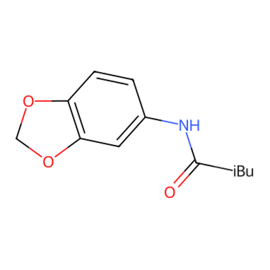 CCC(C)C(=O)Nc1ccc2c(c1)OCO2